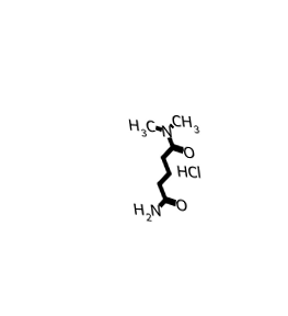 CN(C)C(=O)CCCC(N)=O.Cl